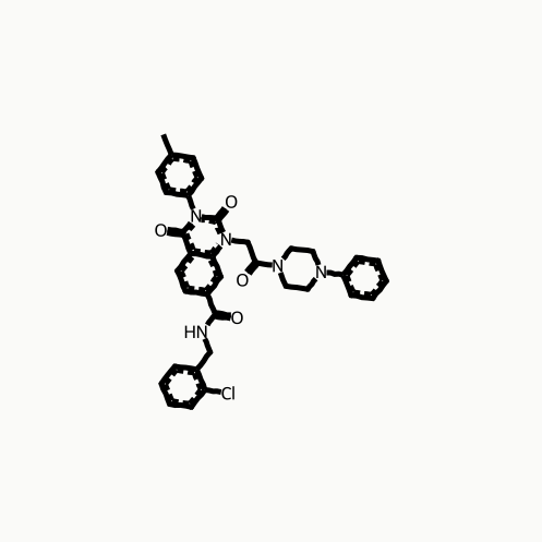 Cc1ccc(-n2c(=O)c3ccc(C(=O)NCc4ccccc4Cl)cc3n(CC(=O)N3CCN(c4ccccc4)CC3)c2=O)cc1